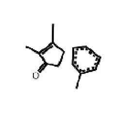 CC1=C(C)C(=O)CC1.Cc1ccccc1